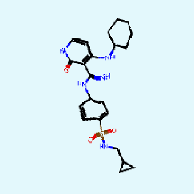 N=C(Nc1ccc(S(=O)(=O)NCC2CC2)cc1)c1c(NC2CCCCC2)cc[nH]c1=O